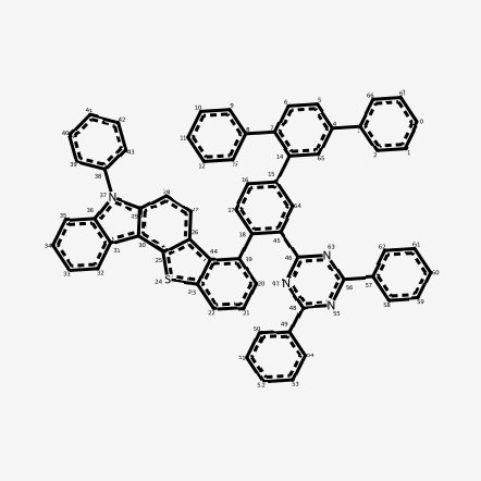 c1ccc(-c2ccc(-c3ccccc3)c(-c3ccc(-c4cccc5sc6c(ccc7c6c6ccccc6n7-c6ccccc6)c45)c(-c4nc(-c5ccccc5)nc(-c5ccccc5)n4)c3)c2)cc1